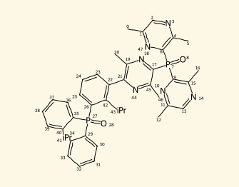 Cc1cnc(C)c(P(=O)(c2nc(C)cnc2C)c2nc(C)c(-c3cccc(P(=O)(c4ccccc4)c4ccccc4C(C)C)c3C(C)C)nc2C)n1